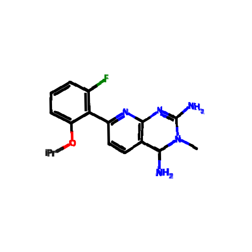 CC(C)Oc1cccc(F)c1-c1ccc2c(n1)N=C(N)N(C)C2N